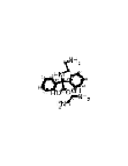 NCCN.NCCNC(C(=O)O)(c1ccccc1)c1ccccc1O